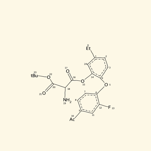 CCc1ccc(Oc2ccc(C(C)=O)cc2F)c(OC(=O)C(N)C(=O)OC(C)(C)C)c1